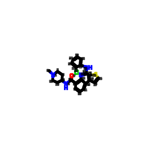 CN1CCC(NC(=O)c2cccc3c2nc(Nc2ccccc2Cl)c2sccc23)CC1